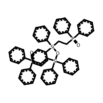 O=P(CC[Si](O[Si](CCP(=O)(c1ccccc1)c1ccccc1)(c1ccccc1)c1ccccc1)(c1ccccc1)c1ccccc1)(c1ccccc1)c1ccccc1